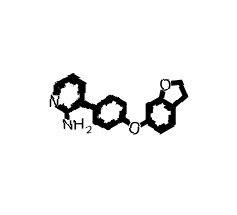 Nc1ncccc1-c1ccc(Oc2ccc3c(c2)OCC3)cc1